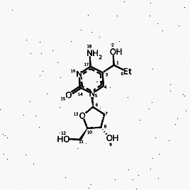 CCC(O)c1cn([C@H]2C[C@H](O)[C@@H](CO)O2)c(=O)nc1N